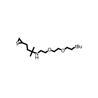 CC(C)(C)CCOCCOCCNC(C)(C)CCC1CS1